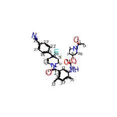 CC(=O)N1CC[C@H](OC(=O)Nc2cc(C(=O)N3CCC(F)(c4ccc(C#N)cc4)CC3)c(C)cc2C)C1